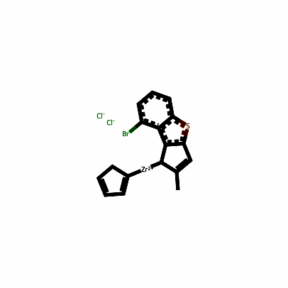 CC1=Cc2sc3cccc(Br)c3c2[CH]1[Zr+2][C]1=CC=CC1.[Cl-].[Cl-]